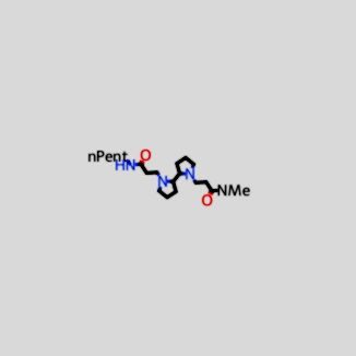 CCCCCNC(=O)CCN1CCCC1C1CCCN1CCC(=O)NC